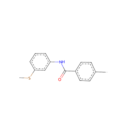 [CH2]c1ccc(C(=O)Nc2cccc(SC)c2)cc1